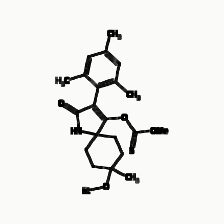 CCOC1(C)CCC2(CC1)NC(=O)C(c1c(C)cc(C)cc1C)=C2OC(=S)OC